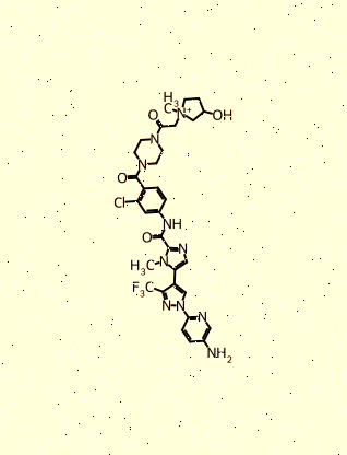 Cn1c(-c2cn(-c3ccc(N)cn3)nc2C(F)(F)F)cnc1C(=O)Nc1ccc(C(=O)N2CCN(C(=O)C[N+]3(C)CCC(O)C3)CC2)c(Cl)c1